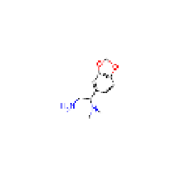 CN(C)C(CN)c1ccc2c(c1)OCO2